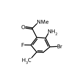 CNC(=O)c1c(N)c(Br)cc(C)c1F